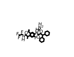 C=Cc1cc(NC(=O)C(OC(N)=O)C(C2CCCCC2)C2CCCCC2)c(F)cc1C(C)C(=O)NC(F)C(F)F